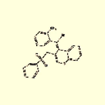 Cc1ccccc1/C(Br)=C1\C(CS(=O)(=O)c2ccccc2)=COc2ccccc21